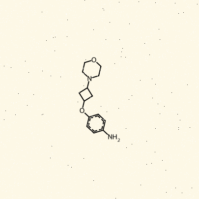 Nc1ccc(OC2CC(N3CCOCC3)C2)cc1